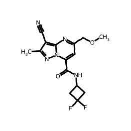 COCc1cc(C(=O)NC2CC(F)(F)C2)n2nc(C)c(C#N)c2n1